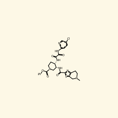 CC(C)OC(=O)N1CC[C@H](NC(=O)C(=O)Nc2ccc(Cl)cn2)[C@H](NC(=O)c2nc3c(s2)CN(C)CC3)C1